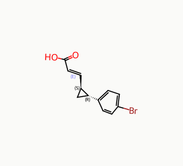 O=C(O)/C=C/[C@@H]1C[C@H]1c1ccc(Br)cc1